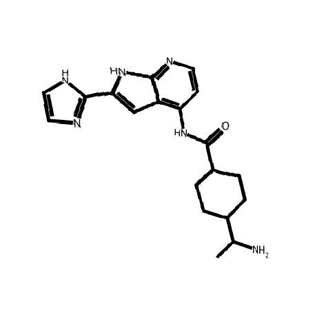 CC(N)C1CCC(C(=O)Nc2ccnc3[nH]c(-c4ncc[nH]4)cc23)CC1